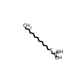 CCCCCCCCCCCCSCB(O)O